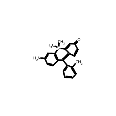 Cc1ccccc1C1=C2C=CC(=O)C=C2[Si](C)(C)c2cc(N)ccc21